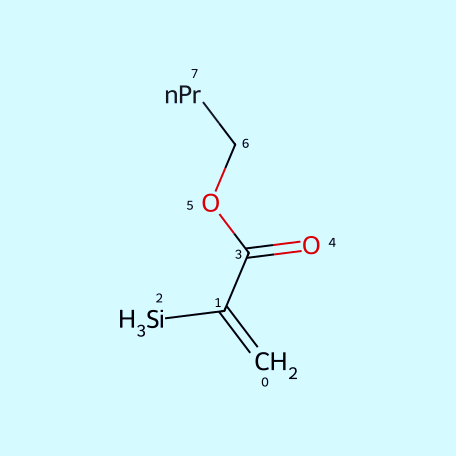 C=C([SiH3])C(=O)OCCCC